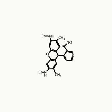 CCNc1cc2c(cc1C)C(c1ccccc1C(=O)N=O)c1cc(C)c(NCC)cc1O2